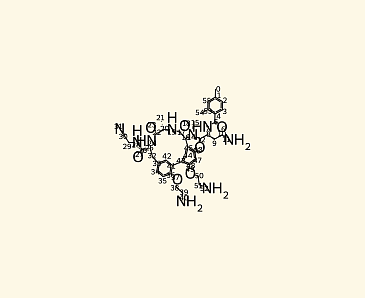 Cc1ccc(C(=O)N[C@@H](CCN)C(=O)N(C)[C@@H]2C(=O)N[C@@H](C)C(=O)N[C@H](C(=O)NCC#N)Cc3ccc(OCCN)c(c3)-c3cc2ccc3OCCN)c(C)c1